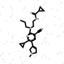 CCCN(CCNC(=O)C1CC1)c1nc(C2CC2)c(C2=CCN(C)C2)cc1C#N